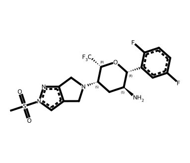 CS(=O)(=O)n1cc2c(n1)CN([C@H]1C[C@H](N)[C@@H](c3cc(F)ccc3F)O[C@H]1C(F)(F)F)C2